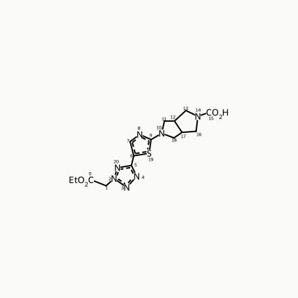 CCOC(=O)Cn1nnc(-c2cnc(N3CC4CN(C(=O)O)CC4C3)s2)n1